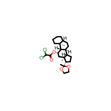 CC1([C@H]2CC[C@H]3[C@@H]4CC[C@H]5CCCC[C@]5(C)[C@H]4[C@@H](OC(=O)C(Cl)Cl)C[C@]23C)OCCO1